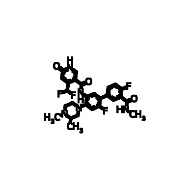 CNC(=O)c1cc(-c2cc(NC(=O)c3c[nH]c(=O)cc3C(F)F)c(N3CCN(C)C(C)C3)cc2F)ccc1F